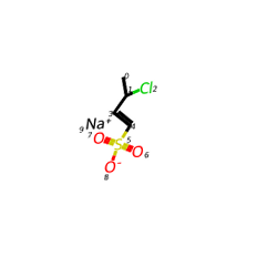 CC(Cl)C=CS(=O)(=O)[O-].[Na+]